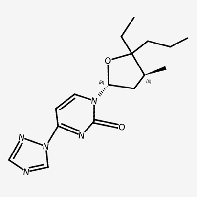 CCCC1(CC)O[C@@H](n2ccc(-n3cncn3)nc2=O)C[C@@H]1C